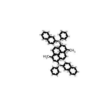 Cc1cc(N(c2ccccc2)c2ccc3ccccc3c2)c2ccc3c(C)cc(N(c4ccccc4)c4ccc5ccccc5c4)c4ccc1c2c34